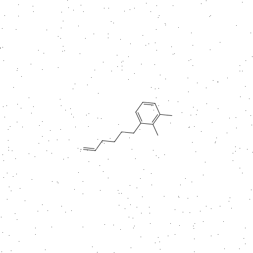 [CH]=CCCCCc1cccc(C)c1C